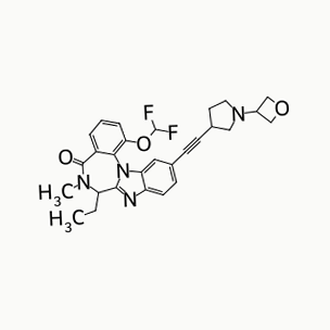 CCC1c2nc3ccc(C#CC4CCN(C5COC5)C4)cc3n2-c2c(OC(F)F)cccc2C(=O)N1C